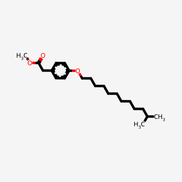 COC(=O)Cc1ccc(OCCCCCCCCCCC(C)C)cc1